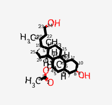 CC(=O)O[C@H]1C[C@@H]2C[C@H](O)CC[C@]2(C)[C@H]2CC[C@]3(C)[C@@H]([C@H](C)CCO)CC[C@H]3[C@H]12